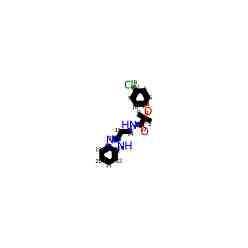 CC(C)(Oc1ccc(Cl)cc1)C(=O)NCCc1nc2ccccc2[nH]1